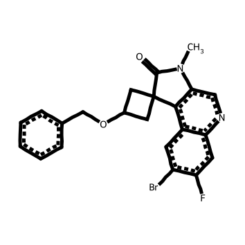 CN1C(=O)C2(CC(OCc3ccccc3)C2)c2c1cnc1cc(F)c(Br)cc21